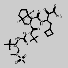 CN(C[C@@H](NC(=O)N[C@H](C(=O)N1C[C@@H]2CCC[C@@H]2[C@H]1C(=O)NC(CC1CCC1)C(=O)C(N)=O)C(C)(C)C)C(C)(C)C)S(C)(=O)=O